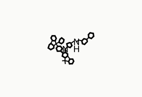 CC1(C)c2ccccc2-c2cc3c(cc21)c1ccc(C2(c4ccccc4)c4ccccc4-c4ccccc42)cc1n3-c1ccc(CNCc2cccc(-c3ccccc3)c2)cc1